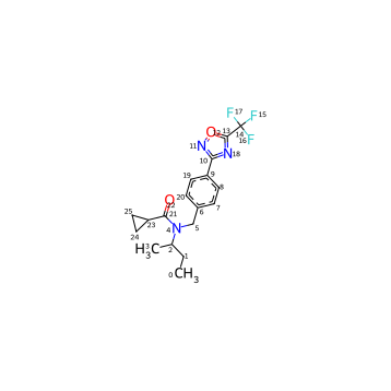 CCC(C)N(Cc1ccc(-c2noc(C(F)(F)F)n2)cc1)C(=O)C1CC1